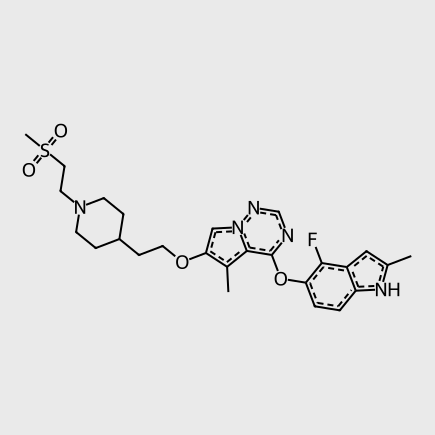 Cc1cc2c(F)c(Oc3ncnn4cc(OCCC5CCN(CCS(C)(=O)=O)CC5)c(C)c34)ccc2[nH]1